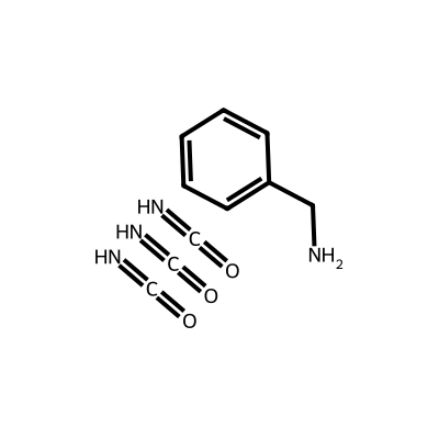 N=C=O.N=C=O.N=C=O.NCc1ccccc1